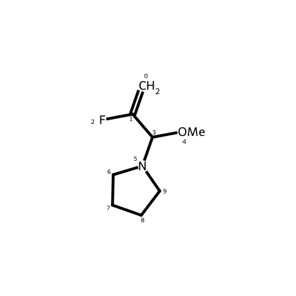 C=C(F)C(OC)N1CCCC1